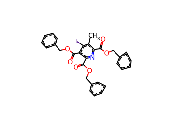 Cc1c(C(=O)OCc2ccccc2)nc(C(=O)OCc2ccccc2)c(C(=O)OCc2ccccc2)c1I